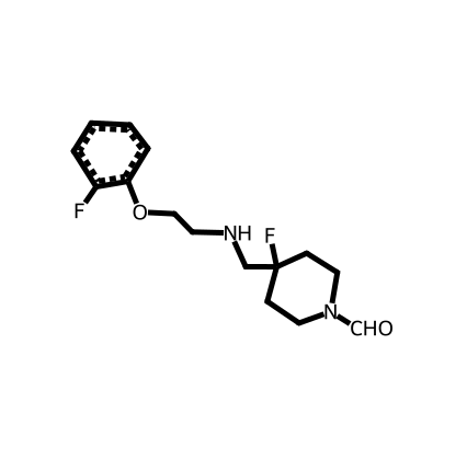 O=CN1CCC(F)(CNCCOc2ccccc2F)CC1